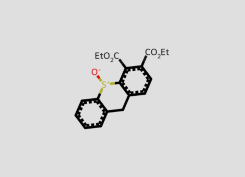 CCOC(=O)c1ccc2c(c1C(=O)OCC)[S+]([O-])c1ccccc1C2